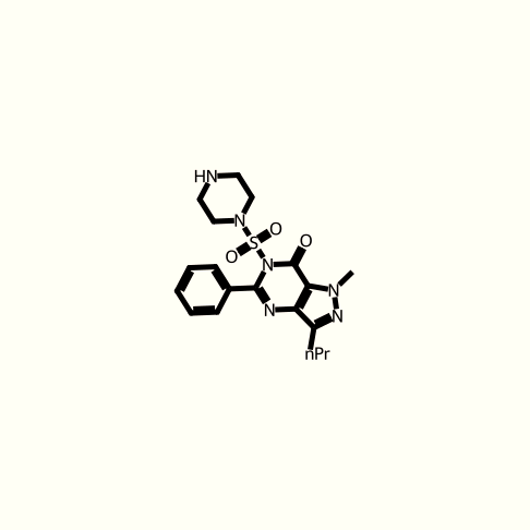 CCCc1nn(C)c2c(=O)n(S(=O)(=O)N3CCNCC3)c(-c3ccccc3)nc12